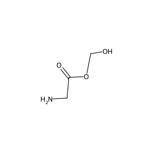 NCC(=O)OCO